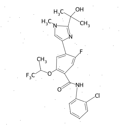 CC(Oc1cc(-c2cn(C)c(C(C)(C)O)n2)c(F)cc1C(=O)Nc1ccccc1Cl)C(F)(F)F